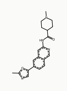 Cc1ncc(-c2ccc3cnc(NC(=O)C4CCN(C)CC4)cc3c2)o1